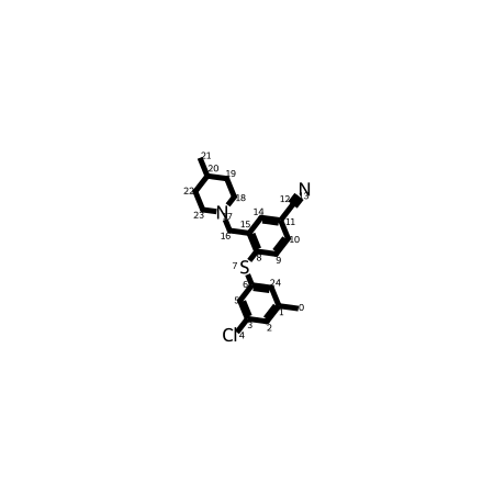 Cc1cc(Cl)cc(Sc2ccc(C#N)cc2CN2CCC(C)CC2)c1